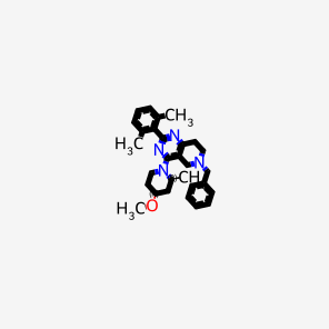 CO[C@@H]1CCN(c2nc(-c3c(C)cccc3C)nc3c2CN(Cc2ccccc2)CC3)[C@H](C)C1